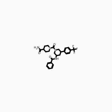 NC(=O)C1CCN(C(=O)N2CC(NC(=O)c3ccccc3)CC(c3ccc(C(F)(F)F)cc3)C2)CC1